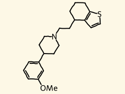 COc1cccc(C2CCN(CCC3CCCc4sccc43)CC2)c1